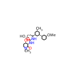 COc1cccc(-c2cc(C)cc([C@H](CC(=O)O)NC(=O)Nc3c(O)ccn(C)c3=O)c2)c1